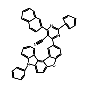 N#Cc1c(-c2ccc3ccccc3c2)nc(-c2ccccc2)nc1-c1ccc2oc3ccc4c(c5ccccc5n4-c4ccccc4)c3c2c1